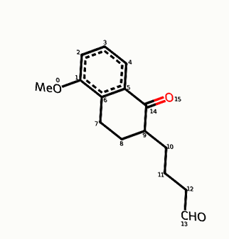 COc1cccc2c1CCC(CCCC=O)C2=O